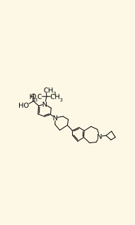 CC(C)(C)N1CC(N2CCC(c3ccc4c(c3)CCN(C3CCC3)CC4)CC2)=CC=C1C(=O)O